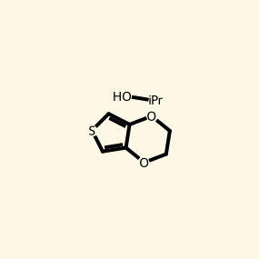 CC(C)O.c1scc2c1OCCO2